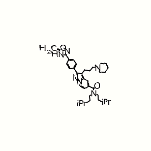 C=C1NC(c2ccc(-c3nn4ccc(C(=O)N(CCC(C)C)CCC(C)C)cc4c3CCCN3CCCCC3)cc2)=NO1